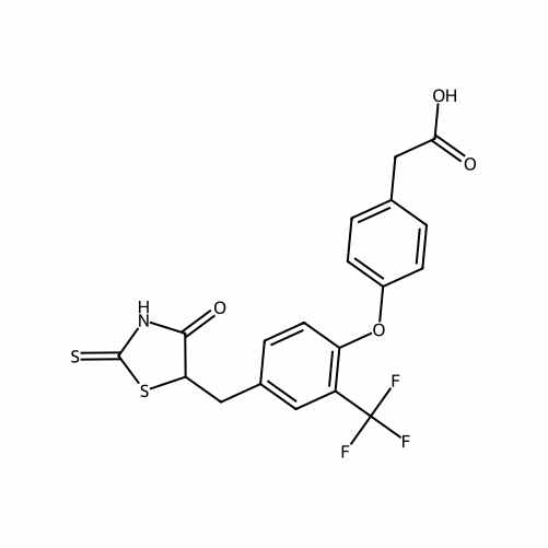 O=C(O)Cc1ccc(Oc2ccc(CC3SC(=S)NC3=O)cc2C(F)(F)F)cc1